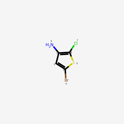 Nc1cc(Br)sc1Cl